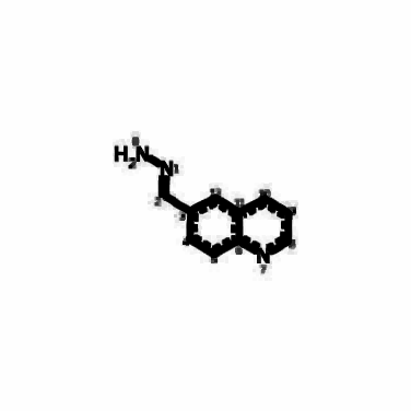 NN=Cc1ccc2nc[c]cc2c1